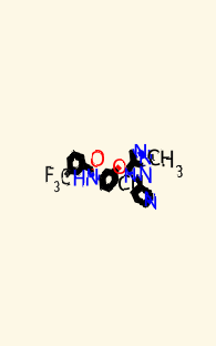 Cc1ccc(NC(=O)c2cccc(C(F)(F)F)c2)cc1Oc1nc(-c2cccnc2)nc2c1cnn2C